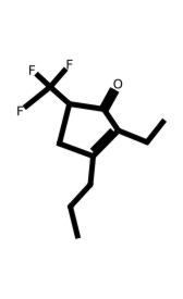 CCCC1=C(CC)C(=O)C(C(F)(F)F)C1